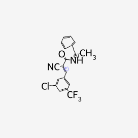 C[C@H](NC(=O)/C(C#N)=C/c1cc(Cl)cc(C(F)(F)F)c1)c1ccccc1